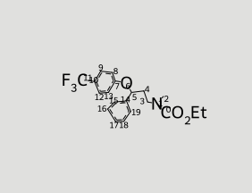 CCOC(=O)N(C)CCC(Oc1ccc(C(F)(F)F)cc1)c1ccccc1